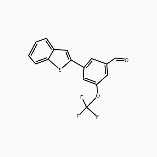 O=Cc1cc(OC(F)(F)F)cc(-c2cc3ccccc3s2)c1